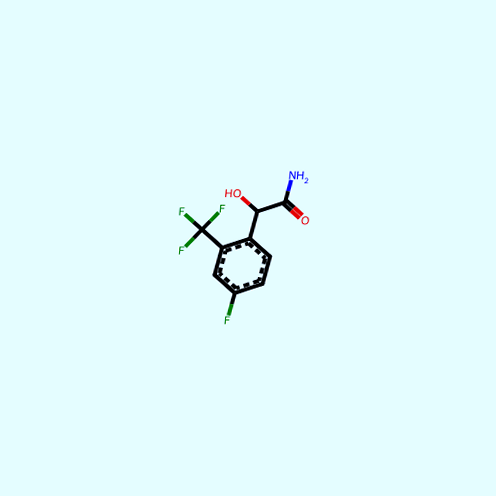 NC(=O)C(O)c1ccc(F)cc1C(F)(F)F